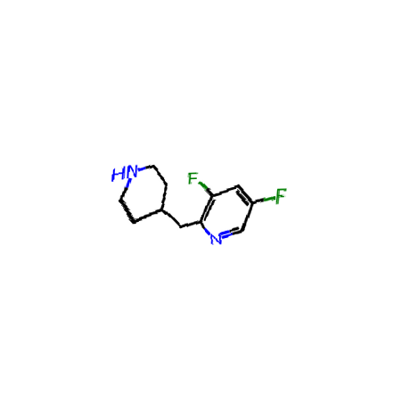 Fc1cnc(CC2CCNCC2)c(F)c1